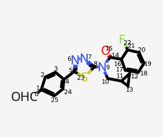 O=Cc1ccc(-c2nnc(N(CC3CC3)C(=O)C3C=CC=CC3F)s2)cc1